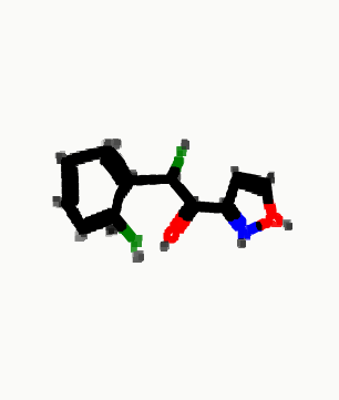 O=C(c1ccon1)C(F)c1ccccc1F